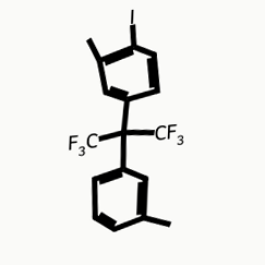 Cc1cccc(C(c2ccc(I)c(C)c2)(C(F)(F)F)C(F)(F)F)c1